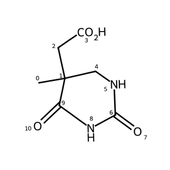 CC1(CC(=O)O)CNC(=O)NC1=O